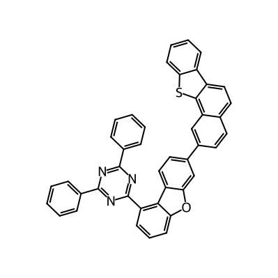 c1ccc(-c2nc(-c3ccccc3)nc(-c3cccc4oc5cc(-c6ccc7ccc8c9ccccc9sc8c7c6)ccc5c34)n2)cc1